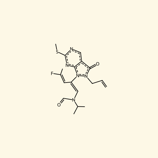 C=CCn1c(=O)c2cnc(SC)nc2n1C(/C=C(\C)F)=C/N(C=O)C(C)C